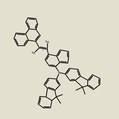 [2H]/C(=C(/[2H])c1cc2ccccc2c2ccccc12)c1ccc(N(c2ccc3c(c2)C(C)(C)c2ccccc2-3)c2ccc3c(c2)C(C)(C)C2C=CC=CC32)c2ccccc12